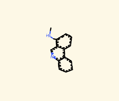 CNc1cccc2c1cnc1ccccc12